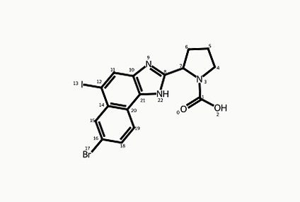 O=C(O)N1CCCC1c1nc2cc(I)c3cc(Br)ccc3c2[nH]1